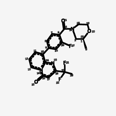 C[C@H]1CN(C(=O)c2ccc(-c3cccn4c(=O)cc(C(C)(F)F)nc34)cc2F)CCO1